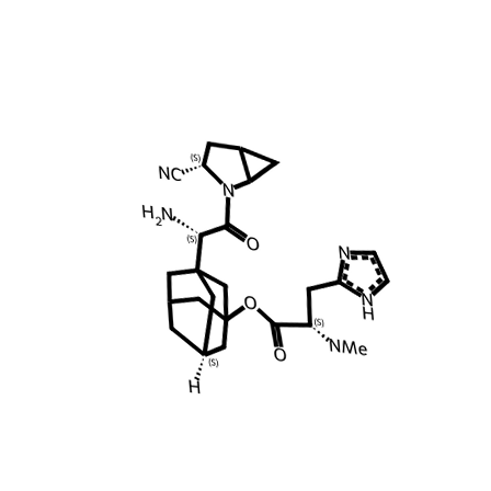 CN[C@@H](Cc1ncc[nH]1)C(=O)OC12CC3C[C@H](C1)CC([C@H](N)C(=O)N1C4CC4C[C@H]1C#N)(C3)C2